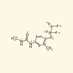 CNC(=O)Nc1ccc(OC(F)(F)C(F)F)c(C)c1